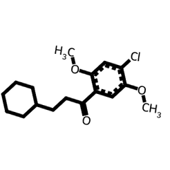 COc1cc(C(=O)CCC2CCCCC2)c(OC)cc1Cl